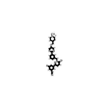 CN1CCC(COc2cnc(-c3cccc(Cn4nc(-c5cc(F)cc(C#N)c5)ccc4=O)c3)nc2)CC1